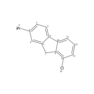 CC(C)c1ccc2c(c1)Cc1c(Cl)cccc1-2